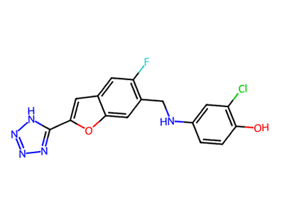 Oc1ccc(NCc2cc3oc(-c4nnn[nH]4)cc3cc2F)cc1Cl